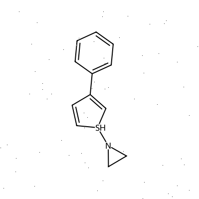 C1=C[SH](N2CC2)C=C1c1ccccc1